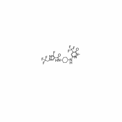 Cn1nc(NC2CCC(NC(=O)c3cn(CC(F)(F)F)nc3F)CC2)cc(C(F)(F)F)c1=O